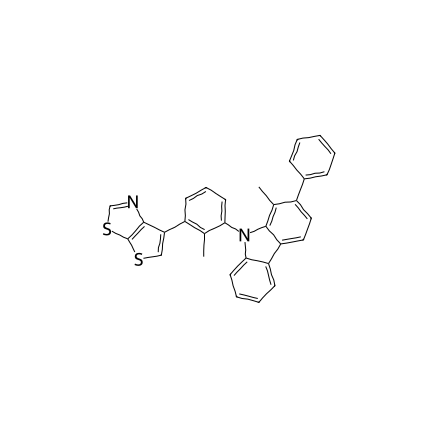 Cc1c(-c2csc3scnc23)cccc1-n1c2ccccc2c2ccc(-c3ccccc3)c(C)c21